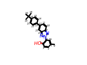 Cc1ccc(O)c(-n2nc3ccc(-c4ccc(C(C)(C)C)cc4)cc3n2)c1